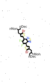 CCCCCCCCCCCC(CCCCCCCCC)Cc1cc(-c2c(F)c(F)c(-c3cc(CC(CCCCCCCCC)CCCCCCCCCCC)c(Br)s3)c3nsnc23)sc1Br